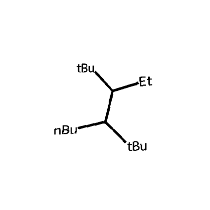 CCCCC(C(CC)C(C)(C)C)C(C)(C)C